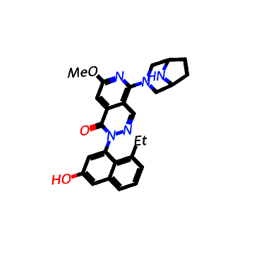 CCc1cccc2cc(O)cc(-n3ncc4c(N5CC6CCC(C5)N6)nc(OC)cc4c3=O)c12